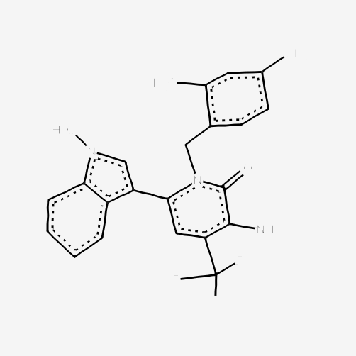 Cc1ccc(Cn2c(-c3cn(C)c4ccccc34)cc(C(F)(F)F)c(N)c2=O)c(C)c1